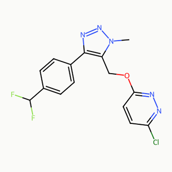 Cn1nnc(-c2ccc(C(F)F)cc2)c1COc1ccc(Cl)nn1